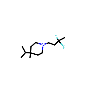 CC(C)C1(C)CCN(CCC(C)(F)F)CC1